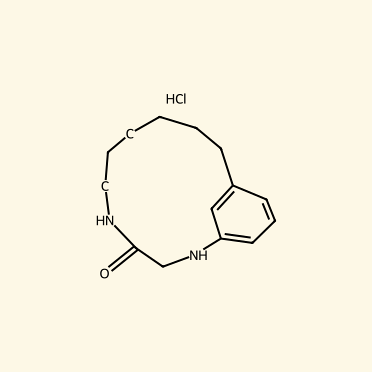 Cl.O=C1CNc2cccc(c2)CCCCCCN1